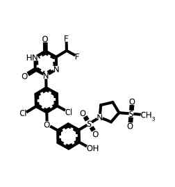 CS(=O)(=O)C1CCN(S(=O)(=O)c2cc(Oc3c(Cl)cc(-n4nc(C(F)F)c(=O)[nH]c4=O)cc3Cl)ccc2O)C1